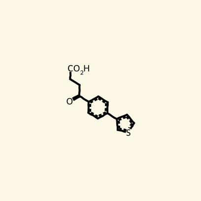 O=C(O)CCC(=O)c1ccc(-c2ccsc2)cc1